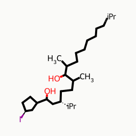 CC(C)CCCCCCCC(C)C(O)C(C)CC[C@@H](CC(O)C1CC[C@H](I)C1)C(C)C